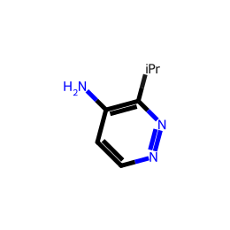 CC(C)c1nnccc1N